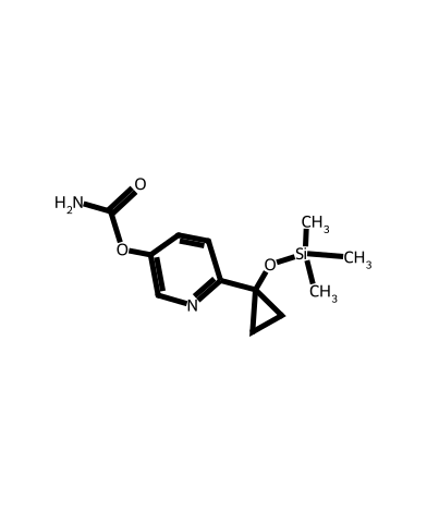 C[Si](C)(C)OC1(c2ccc(OC(N)=O)cn2)CC1